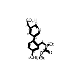 CCN(Cc1cc(C)ccc1-c1cncc(CC(=O)O)c1)C(=O)OC(C)(C)C